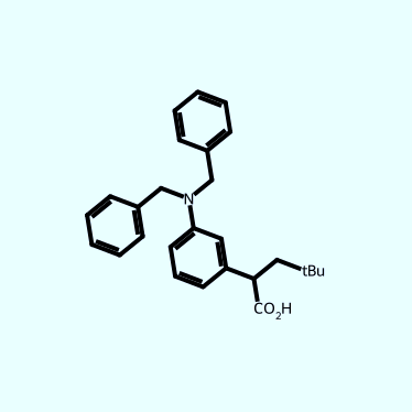 CC(C)(C)CC(C(=O)O)c1cccc(N(Cc2ccccc2)Cc2ccccc2)c1